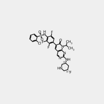 CC(C)n1c(=O)c(-c2cc(F)c(NS(=O)(=O)c3ccccc3Cl)c(F)c2F)cc2cnc(N[C@@H]3CNC[C@@H](F)C3)nc21